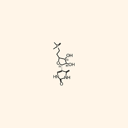 C=C1NC(=O)NC=C1[C@@H]1OC(CCP(=C)(C)C)[C@@H](O)[C@H]1O